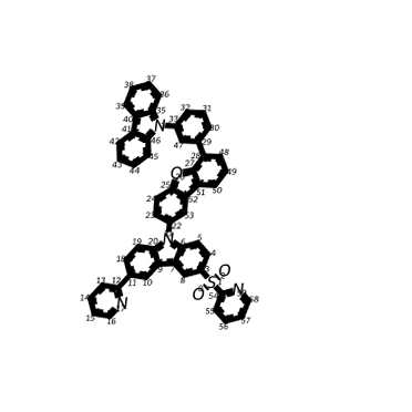 O=S(=O)(c1ccc2c(c1)c1cc(-c3ccccn3)ccc1n2-c1ccc2oc3c(-c4cccc(-n5c6ccccc6c6ccccc65)c4)cccc3c2c1)c1ccccn1